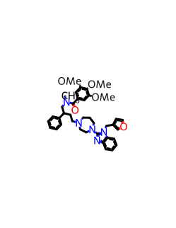 COc1cc(C(=O)N(C)CC(CCN2CCCN(c3nc4ccccc4n3Cc3ccoc3)CC2)c2ccccc2)cc(OC)c1OC